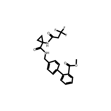 COC(=O)c1ccccc1-c1ccc(CNC(=O)C2(NC(=O)CC(F)(F)F)CC2)cc1